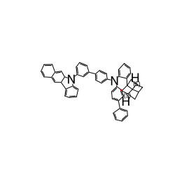 C1=c2ccccc2=CC2C1c1ccccc1N2c1cccc(-c2ccc(N(c3ccc(-c4ccccc4)cc3)c3ccccc3C34C[C@@H]5CC6C[C@@H](C3)C654)cc2)c1